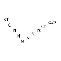 [Cl-].[Cl-].[Cl-].[Ga+3].[N].[N].[N].[N].[N].[N]